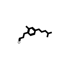 Cc1cc(CCCC(C)C)ccc1CCC=O